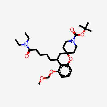 CCN(CC)C(=O)CCCCC1CC2(CCN(C(=O)OC(C)(C)C)CC2)Oc2cccc(OCOC)c21